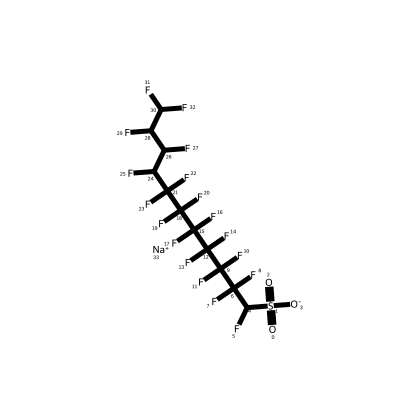 O=S(=O)([O-])C(F)C(F)(F)C(F)(F)C(F)(F)C(F)(F)C(F)(F)C(F)(F)C(F)C(F)C(F)C(F)F.[Na+]